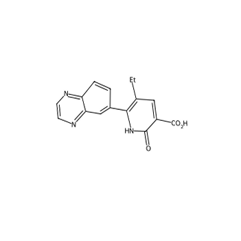 CCc1cc(C(=O)O)c(=O)[nH]c1-c1ccc2nccnc2c1